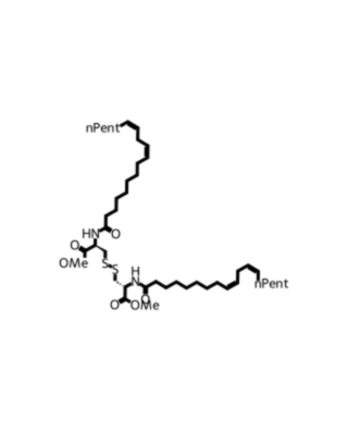 CCCCC/C=C\C/C=C\CCCCCCCC(=O)N[C@@H](CSSC[C@H](NC(=O)CCCCCCC/C=C\C/C=C\CCCCC)C(=O)OC)C(=O)OC